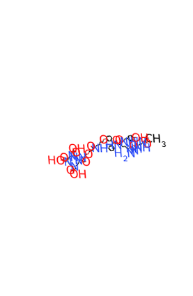 CCC(=O)NCCNC(=O)/N=C(/N)NCCC[C@@H](NC(=O)[C@@H](c1ccccc1)c1cccc(OCCCCNC(=O)CCOCCNC(C=O)N2CCN(CC(=O)O)CCN(CC(=O)O)CCN(CC(=O)O)CC2)c1)C(=O)NCc1ccc(O)cc1